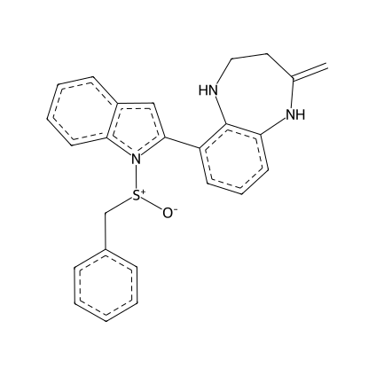 C=C1CCNc2c(cccc2-c2cc3ccccc3n2[S+]([O-])Cc2ccccc2)N1